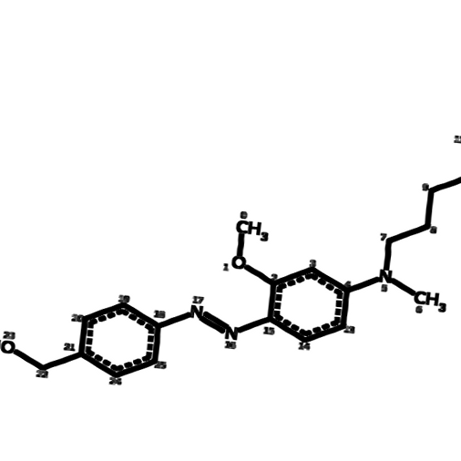 COc1cc(N(C)CCCN=[N+]=[N-])ccc1N=Nc1ccc(CO)cc1